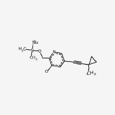 CC1(C#Cc2cnc(CO[Si](C)(C)C(C)(C)C)c(Cl)c2)CC1